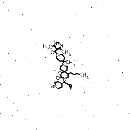 CCCCC1CN([C@H](C2CCNCC2)C2CC2)C(=O)OC12CCN(C1(C)CCN(C(=O)c3c(C)ncnc3C)CC1)CC2